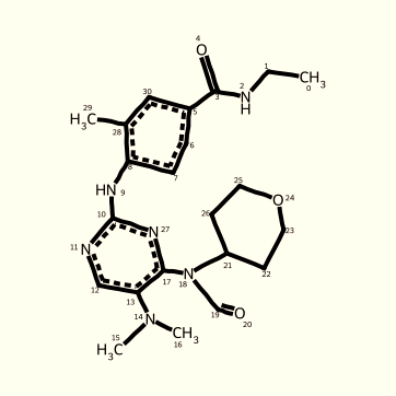 CCNC(=O)c1ccc(Nc2ncc(N(C)C)c(N(C=O)C3CCOCC3)n2)c(C)c1